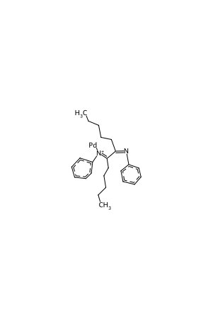 CCCCCC(=Nc1ccccc1)C(CCCCC)=[N+]([Pd])c1ccccc1